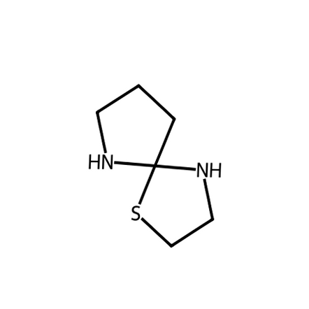 C1CNC2(C1)NCCS2